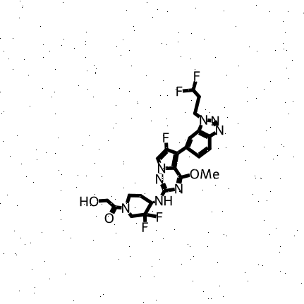 COc1nc(N[C@@H]2CCN(C(=O)CO)CC2(F)F)nn2cc(F)c(-c3ccc4nnn(CCC(F)F)c4c3)c12